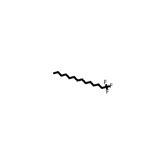 CCCCCCCCCCCCCC(F)(F)F